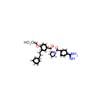 N=C(N)c1ccc(C(=O)N2CCC[C@@H]2C(=O)c2ccc(OCC(=O)O)c(CCc3ccccc3)c2)cc1